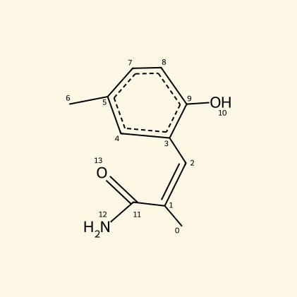 CC(=Cc1cc(C)ccc1O)C(N)=O